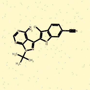 CC(C)(C)n1nc(-c2[nH]c3cc(C#N)ccc3c2Cl)c2c(N)ncnc21